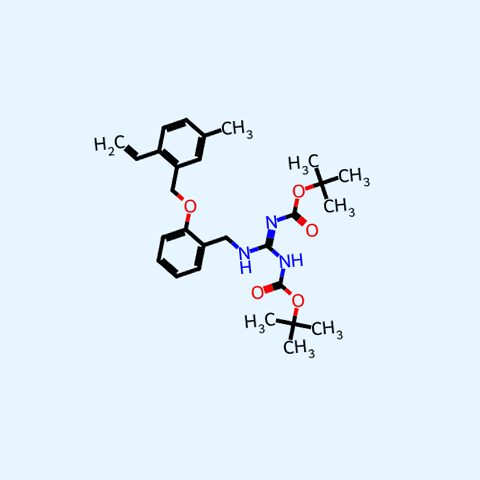 C=Cc1ccc(C)cc1COc1ccccc1CNC(=NC(=O)OC(C)(C)C)NC(=O)OC(C)(C)C